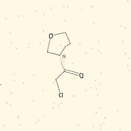 O=C(CCl)[C@H]1CCOC1